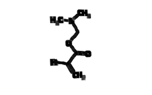 C=C(CC)C(=O)OCN(C)C